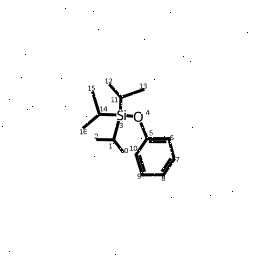 CC(C)[Si](Oc1ccccc1)(C(C)C)C(C)C